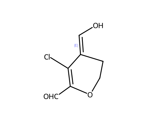 O=CC1=C(Cl)/C(=C/O)CCO1